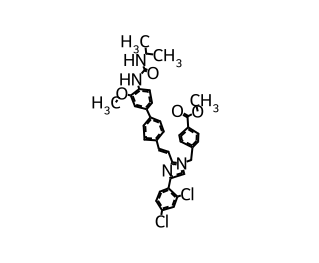 COC(=O)c1ccc(Cn2cc(-c3ccc(Cl)cc3Cl)nc2C=Cc2ccc(-c3ccc(NC(=O)NC(C)C)c(OC)c3)cc2)cc1